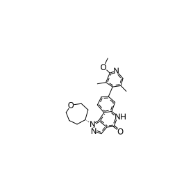 COc1ncc(C)c(-c2ccc3c(c2)[nH]c(=O)c2cnn([C@@H]4CCCOCC4)c23)c1C